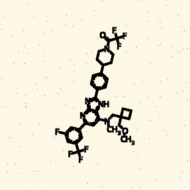 COCC1(CN(C)c2cc(-c3cc(F)cc(C(F)(F)F)c3)nc3nc(-c4ccc(C5CCN(C(=O)C(F)(F)F)CC5)cc4)[nH]c23)CCC1